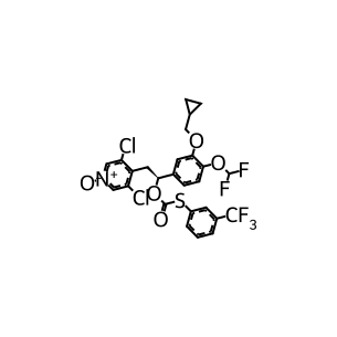 O=C(O[C@@H](Cc1c(Cl)c[n+]([O-])cc1Cl)c1ccc(OC(F)F)c(OCC2CC2)c1)Sc1cccc(C(F)(F)F)c1